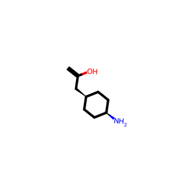 C=C(O)C[C@H]1CC[C@@H](N)CC1